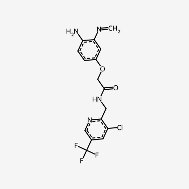 C=Nc1cc(OCC(=O)NCc2ncc(C(F)(F)F)cc2Cl)ccc1N